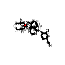 Cc1c(Nc2ccc(C#N)cc2Cl)ncnc1O[C@H]1C[C@H]2COC[C@@H](C1)N2c1nc2ccccc2s1